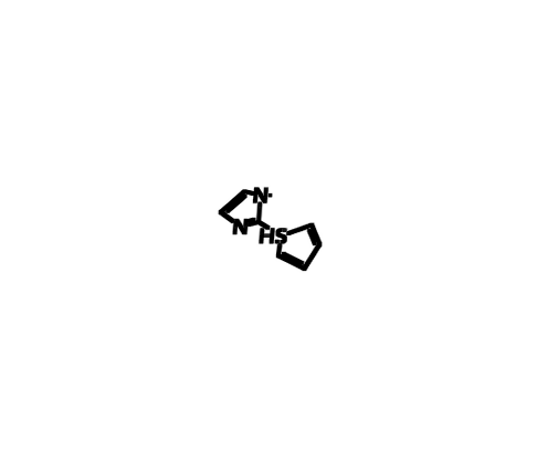 C1=C[SH](C2=NC=C[N]2)C=C1